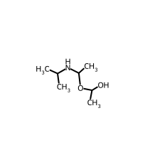 CC(C)NC(C)OC(C)O